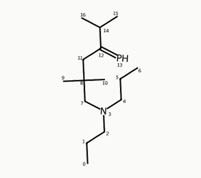 CCCN(CCC)CC(C)(C)CC(=P)C(C)C